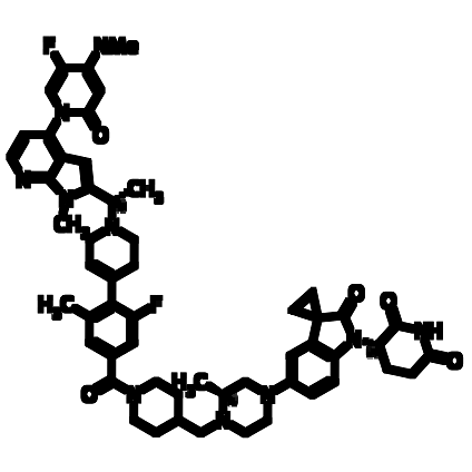 CNc1cc(=O)n(-c2ccnc3c2cc([C@H](C)N2CC=C(c4c(C)cc(C(=O)N5CCC(CN6CCN(c7ccc8c(c7)C7(CC7)C(=O)N8[C@H]7CCC(=O)NC7=O)C[C@@H]6C)CC5)cc4F)CC2)n3C)cc1F